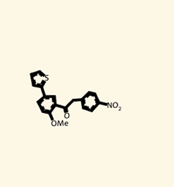 COc1ccc(-c2cccs2)cc1C(=O)Cc1ccc([N+](=O)[O-])cc1